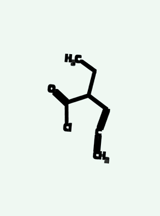 C=C=CC(CC)C(=O)Cl